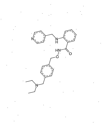 CCN(CC)Cc1ccc(CONC(=O)c2ccccc2NCc2ccncc2)cc1